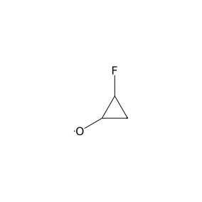 [O]C1CC1F